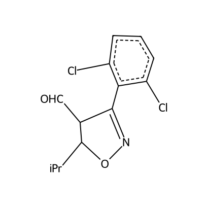 CC(C)C1ON=C(c2c(Cl)cccc2Cl)C1C=O